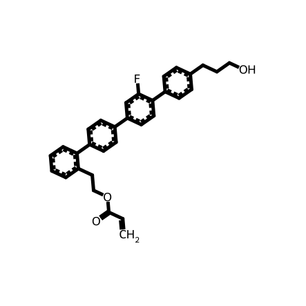 C=CC(=O)OCCc1ccccc1-c1ccc(-c2ccc(-c3ccc(CCCO)cc3)c(F)c2)cc1